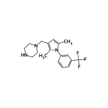 Cc1cc(CN2CCNCC2)c(C)n1-c1cccc(C(F)(F)F)c1